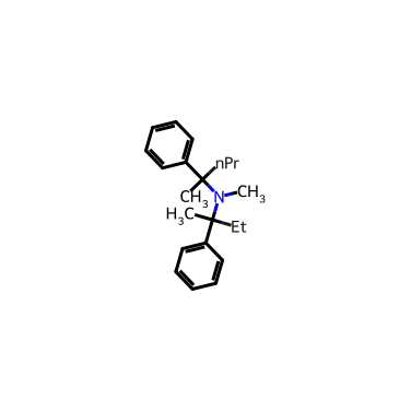 CCCC(C)(c1ccccc1)N(C)C(C)(CC)c1ccccc1